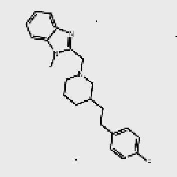 Cn1c(CN2CCCC(CCc3ccc(F)cc3)C2)nc2ccccc21